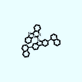 c1ccc2c(-c3ccc4c5ccc(-c6cccc7ccccc67)cc5n(-c5nc6ccccc6c6nc7ccccc7n56)c4c3)cccc2c1